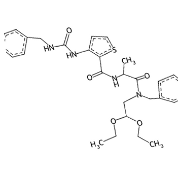 CCOC(CN(Cc1ccccc1)C(=O)C(C)NC(=O)c1sccc1NC(=O)NCc1ccccc1)OCC